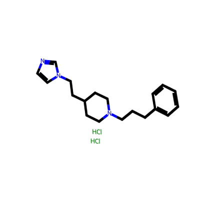 Cl.Cl.c1ccc(CCCN2CCC(CCn3ccnc3)CC2)cc1